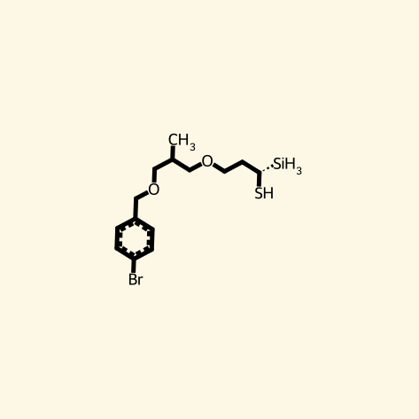 CC(COCC[C@H]([SiH3])S)COCc1ccc(Br)cc1